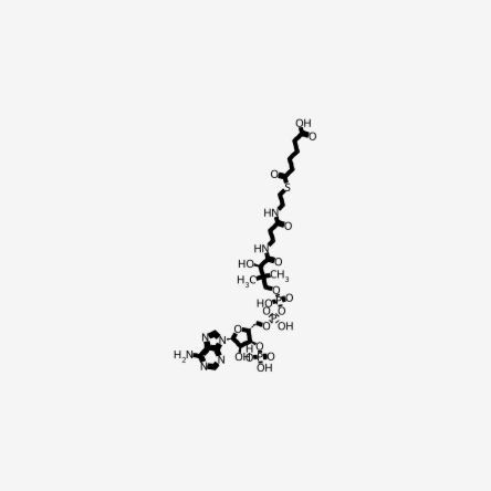 CC(C)(COP(=O)(O)OP(=O)(O)OC[C@H]1O[C@@H](n2cnc3c(N)ncnc32)[C@H](O)[C@@H]1OP(=O)(O)O)[C@@H](O)C(=O)NCCC(=O)NCCSC(=O)CCCCC(=O)O